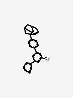 Brc1cc(-c2ccccc2)cc(-c2ccc(C34CC5CC(CC(C5)C3)C4)cc2)c1